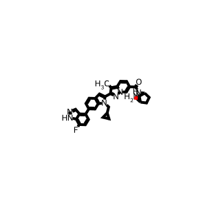 Cc1c(-c2cc3ccc(-c4ccc(F)c5[nH]ncc45)cc3n2CC2CC2)nn2cc(C(=O)N3CC4CCC3[C@@H]4N)ccc12